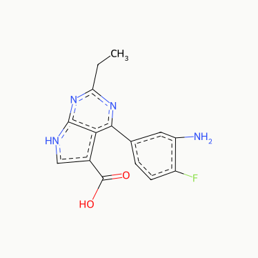 CCc1nc(-c2ccc(F)c(N)c2)c2c(C(=O)O)c[nH]c2n1